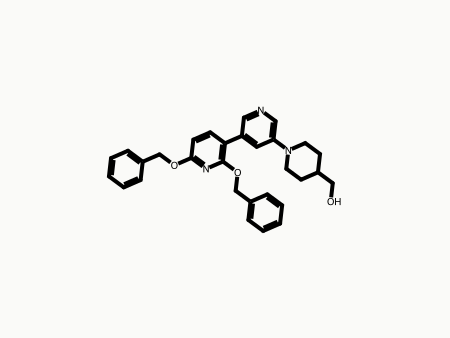 OCC1CCN(c2cncc(-c3ccc(OCc4ccccc4)nc3OCc3ccccc3)c2)CC1